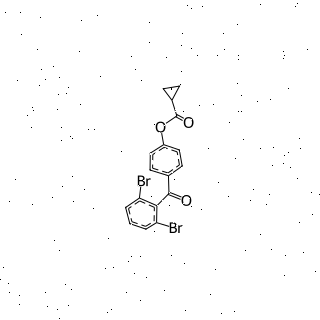 O=C(c1ccc(OC(=O)C2CC2)cc1)c1c(Br)cccc1Br